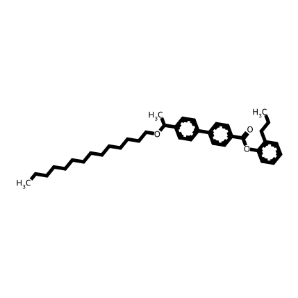 CCCCCCCCCCCCCCOC(C)c1ccc(-c2ccc(C(=O)Oc3ccccc3CCC)cc2)cc1